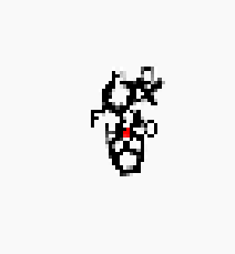 CC(C)(C)OC(=O)NC1C2CCC1CN(c1cc(Cl)ncc1F)C2